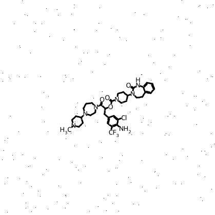 CN1CCC(N2CCCN(C(=O)C(Cc3cc(Cl)c(N)c(C(F)(F)F)c3)OC(=O)N3CCC(N4CCc5ccccc5NC4=O)CC3)CC2)CC1